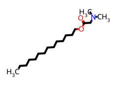 CCCCCCCCCCCCCCOC(=O)CN(C)C